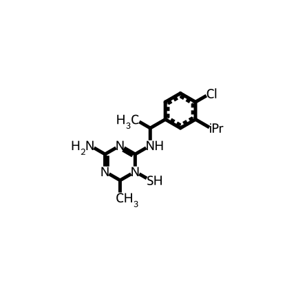 CC(C)c1cc(C(C)NC2=NC(N)=NC(C)N2S)ccc1Cl